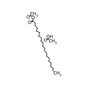 CC(=O)O.CCCCCCCCCCCCCCCCCCCCCC(=O)OC(C)=O